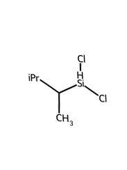 CC(C)C(C)[SiH](Cl)Cl